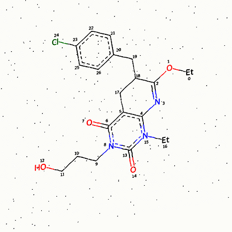 CCOC1=Nc2c(c(=O)n(CCCO)c(=O)n2CC)CC1Cc1ccc(Cl)cc1